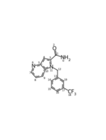 NC(=O)c1cc2ncccc2n1Cc1cccc(C(F)(F)F)c1